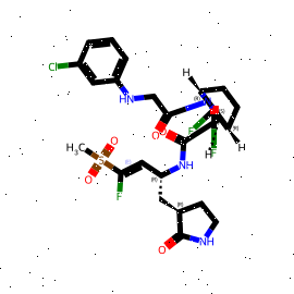 CS(=O)(=O)/C(F)=C/[C@@H](C[C@H]1CCNC1=O)NC(=O)[C@@H]1[C@H]2CC[C@H](CC2(F)F)N1C(=O)CNc1cccc(Cl)c1